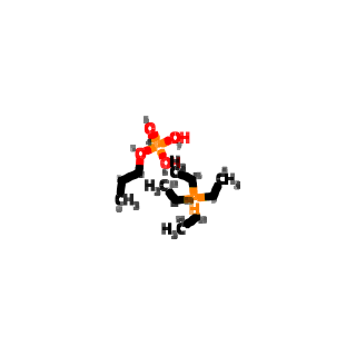 CCCOP(=O)(O)O.CC[PH](CC)(CC)CC